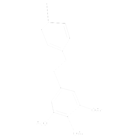 CC(=O)Oc1cc(CCc2ccc(C)cc2)cc(OC(C)=O)c1OC(C)=O